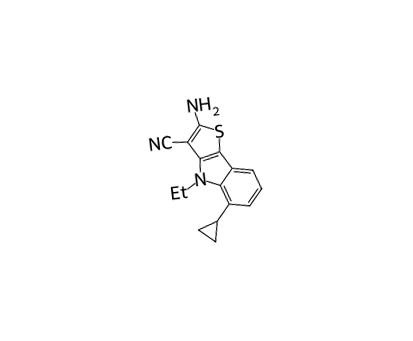 CCn1c2c(C3CC3)cccc2c2sc(N)c(C#N)c21